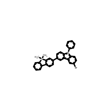 C[Si]1(C)c2ccccc2-c2ccc(-c3ccc4c(c3)c3cc(Br)ccc3n4-c3ccccc3)cc21